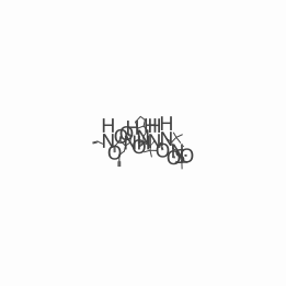 C#CCCC(NC(=O)[C@@H]1[C@H]2CCC[C@H]2CN1C(=O)[C@@H](NC(=O)N[C@H](CN(C)S(=O)(=O)C(C)(C)C)C(C)(C)C)C(C)(C)C)C(=O)C(=O)NCC=C